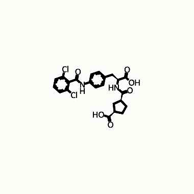 O=C(Nc1ccc(C[C@H](NC(=O)[C@H]2CC[C@@H](C(=O)O)C2)C(=O)O)cc1)c1c(Cl)cccc1Cl